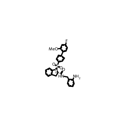 COc1cc(F)ccc1-c1ccc(S(=O)(=O)N2c3ccccc3C[C@H]2C(=O)NCc2ccccc2N)cc1